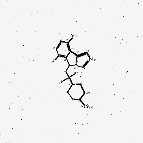 OC1CCC(C(F)(F)CC2c3c(F)ccc(F)c3-c3cncn32)CC1